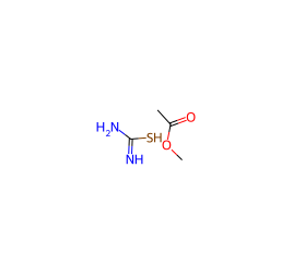 COC(C)=O.N=C(N)S